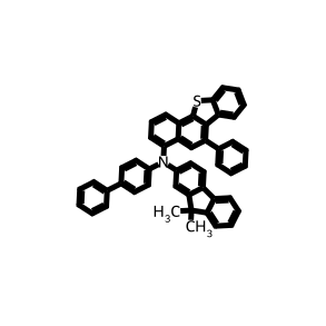 CC1(C)c2ccccc2-c2ccc(N(c3ccc(-c4ccccc4)cc3)c3cccc4c3cc(-c3ccccc3)c3c5ccccc5sc43)cc21